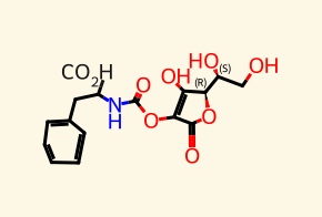 O=C(NC(Cc1ccccc1)C(=O)O)OC1=C(O)[C@@H]([C@@H](O)CO)OC1=O